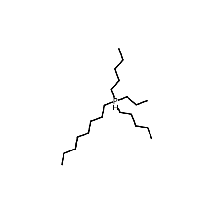 CCCCCCCC[PH](CCC)(CCCCC)CCCCC